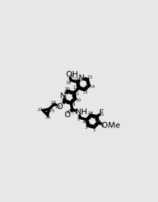 COc1ccc(CNC(=O)c2cc(-c3cccnc3CO)cnc2OCC2CC2)cc1F